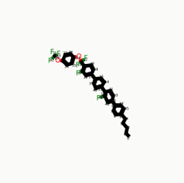 CCCCCc1ccc(-c2ccc(-c3ccc(-c4ccc(C(F)(F)Oc5ccc(OC(F)(F)F)cc5)c(F)c4)cc3)c(F)c2)cc1